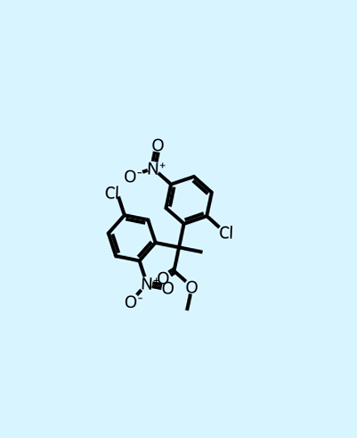 COC(=O)C(C)(c1cc([N+](=O)[O-])ccc1Cl)c1cc(Cl)ccc1[N+](=O)[O-]